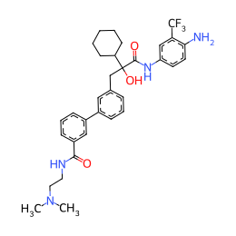 CN(C)CCNC(=O)c1cccc(-c2cccc(CC(O)(C(=O)Nc3ccc(N)c(C(F)(F)F)c3)C3CCCCC3)c2)c1